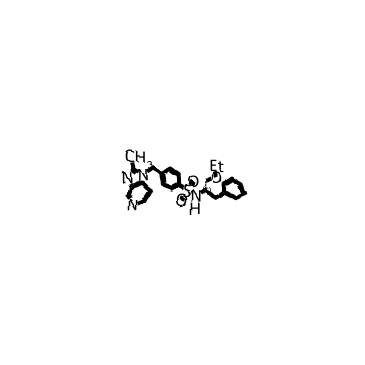 CCOC[C@H](Cc1ccccc1)NS(=O)(=O)c1ccc(Cn2c(C)nc3cnccc32)cc1